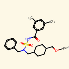 CCCCCOCC1CCC(CN(Cc2ccccc2)S(=O)(=O)NC(=O)c2cc(C(F)(F)F)cc(C(F)(F)F)c2)CC1